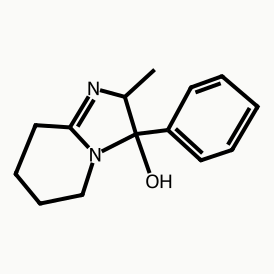 CC1N=C2CCCCN2C1(O)c1ccccc1